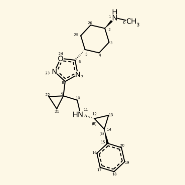 CN[C@H]1CC[C@H](c2nc(C3(CN[C@@H]4C[C@H]4c4ccccc4)CC3)no2)CC1